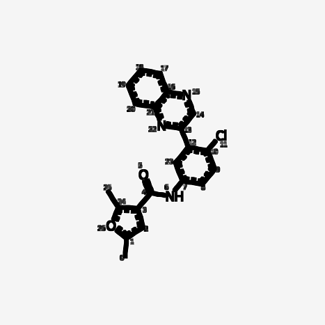 Cc1cc(C(=O)Nc2ccc(Cl)c(-c3cnc4ccccc4n3)c2)c(C)o1